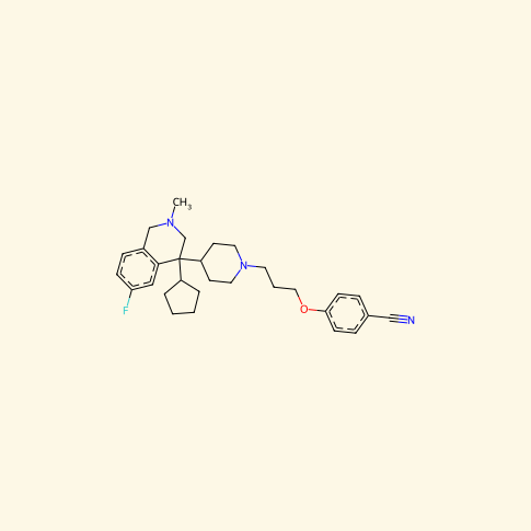 CN1Cc2ccc(F)cc2C(C2CCCC2)(C2CCN(CCCOc3ccc(C#N)cc3)CC2)C1